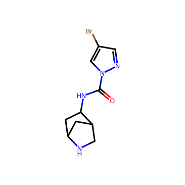 O=C(NC1CC2CC1CN2)n1cc(Br)cn1